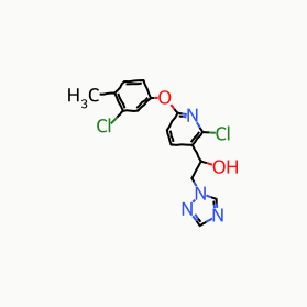 Cc1ccc(Oc2ccc(C(O)Cn3cncn3)c(Cl)n2)cc1Cl